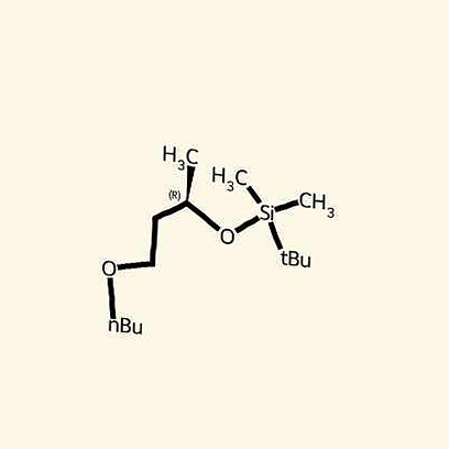 CCCCOCC[C@@H](C)O[Si](C)(C)C(C)(C)C